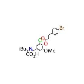 CCC(C)C(/N=C/c1cc(Cl)c(OC(=O)/C=C/c2ccc(Br)cc2)c(OC)c1)C(=O)O